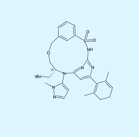 CC1=CCCC(C)=C1c1cc2nc(n1)NS(=O)(=O)c1cccc(c1)COC[C@@H](CC(C)(C)C)N2c1ccnn1C